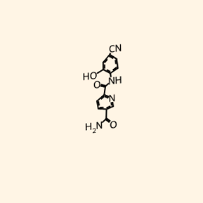 N#Cc1ccc(NC(=O)c2ccc(C(N)=O)cn2)c(O)c1